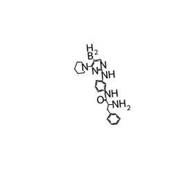 Bc1cnc(Nc2cccc(NC(=O)C(N)Cc3ccccc3)c2)nc1N1CCCCC1